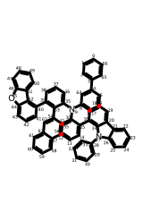 c1ccc(-c2cccc(N(c3ccccc3-c3cccc4c5ccccc5n(-c5ccccc5)c34)c3cccc(-c4cccc5oc6ccccc6c45)c3-c3ccc4ccccc4c3)c2)cc1